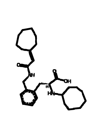 O=C(C=C1CCCCCCC1)NCc1ccccc1C[C@@H](NC1CCCCCCC1)C(=O)O